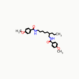 CCCC(CCCCCNC(=O)c1ccc(OC)cc1)CNC(=O)c1ccc(OC)cc1